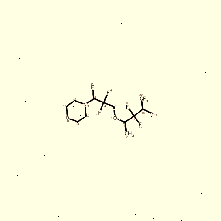 CC(OCC(F)(F)C(F)N1CCOCC1)C(F)(F)C(F)C(F)(F)F